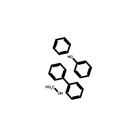 O=C(O)O.Oc1ccccc1.c1ccc(-c2ccccc2)cc1.c1ccccc1